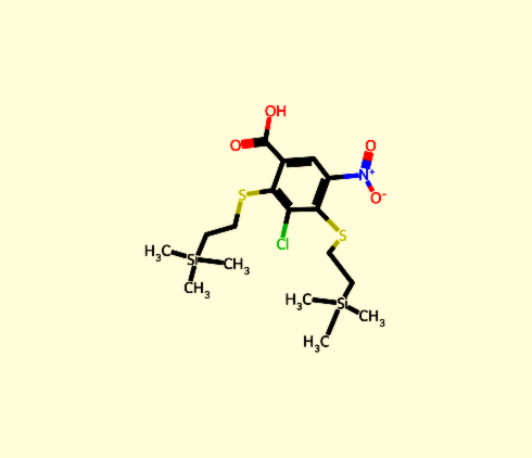 C[Si](C)(C)CCSc1c(C(=O)O)cc([N+](=O)[O-])c(SCC[Si](C)(C)C)c1Cl